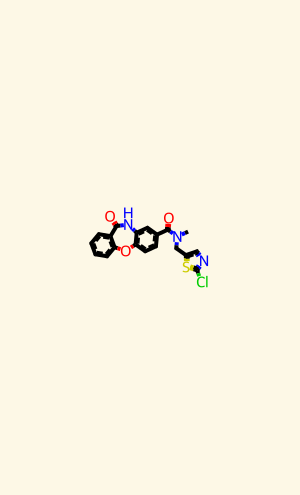 CN(Cc1cnc(Cl)s1)C(=O)c1ccc2c(c1)NC(=O)c1ccccc1O2